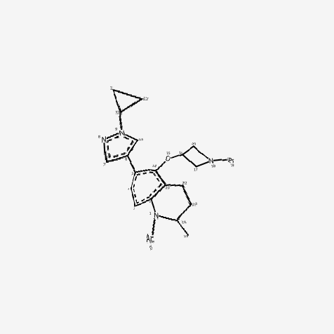 CC(=O)N1c2ccc(-c3cnn(C4CC4)c3)c(OC3CN(C(C)C)C3)c2CCC1C